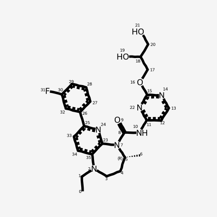 CCN1CC[C@@H](C)N(C(=O)Nc2ccnc(OCC(O)CO)n2)c2nc(-c3cccc(F)c3)ccc21